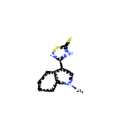 Cn1cc(-c2nsc(=S)[nH]2)c2ccccc21